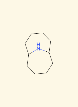 C1CCC2CCCCC(C1)N2